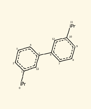 CC(C)c1cccc(-c2cccc(C(C)C)c2)c1